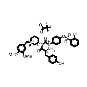 COc1ccc(C[N+]2(C)CCC[C@H](N(C(=O)Nc3ccc(OS(=O)(=O)c4ccccc4Br)cc3)C(=O)[C@@H](N)Cc3ccc(O)cc3)C2)cc1OC.O=C([O-])C(F)(F)F